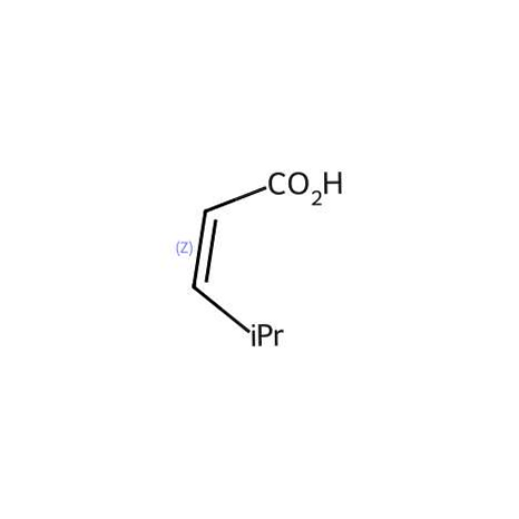 CC(C)/C=C\C(=O)O